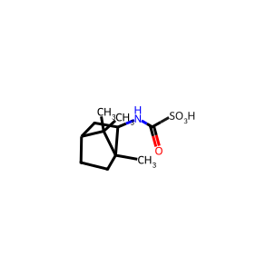 CC1(C)C2CCC1(C)C(NC(=O)S(=O)(=O)O)C2